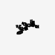 Cc1cc(-c2cn(-c3ccc(NS(=O)(=O)CCO)cc3N3CCC4(CC3)CC4)nn2)nc(C2COCCO2)n1